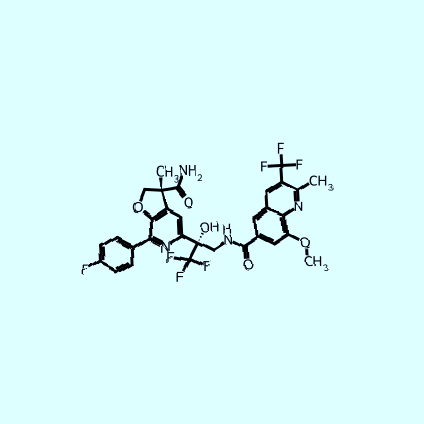 COc1cc(C(=O)NC[C@](O)(c2cc3c(c(-c4ccc(F)cc4)n2)OC[C@]3(C)C(N)=O)C(F)(F)F)cc2cc(C(F)(F)F)c(C)nc12